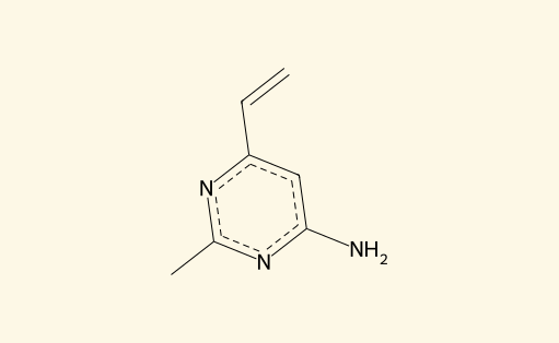 C=Cc1cc(N)nc(C)n1